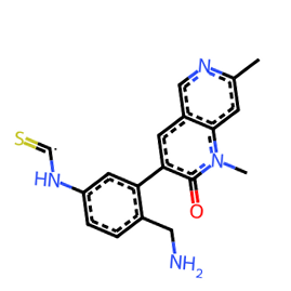 Cc1cc2c(cn1)cc(-c1cc(N[C]=S)ccc1CN)c(=O)n2C